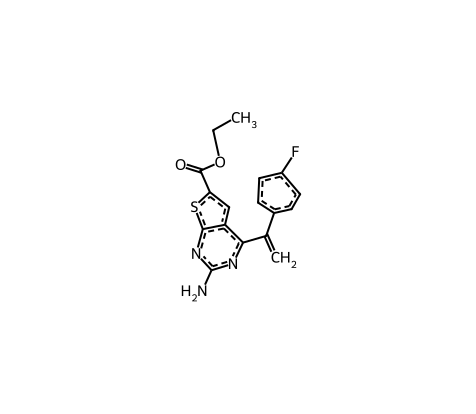 C=C(c1ccc(F)cc1)c1nc(N)nc2sc(C(=O)OCC)cc12